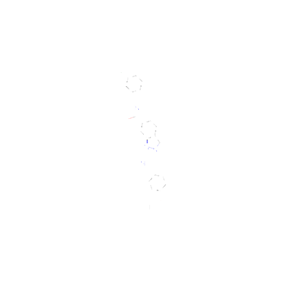 COc1ccc(C(Cn2cc3ccc(C(=O)NCc4cccc(Cl)c4)cc3n2)N2CCOCC2)cc1